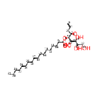 C=CCC(=O)[C@H](OC(=O)CCCCCCCCCCCCCCCCC)[C@@H](O)[C@H](O)[C@H](O)CO